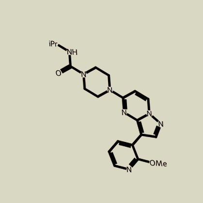 COc1ncccc1-c1cnn2ccc(N3CCN(C(=O)NC(C)C)CC3)nc12